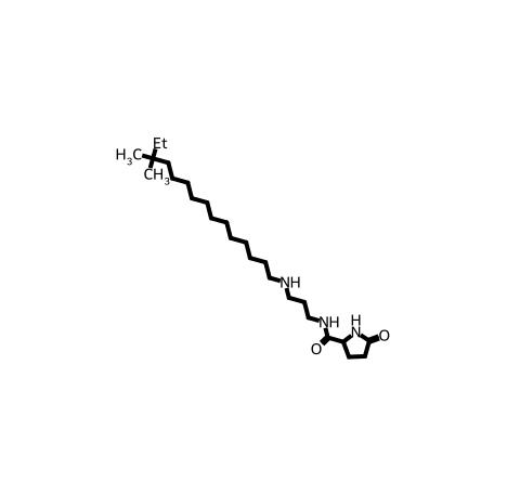 CCC(C)(C)CCCCCCCCCCCCNCCCNC(=O)C1CCC(=O)N1